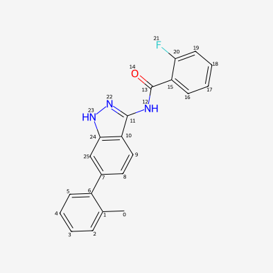 Cc1ccccc1-c1ccc2c(NC(=O)c3ccccc3F)n[nH]c2c1